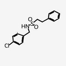 O=S(=O)(CCc1ccccc1)NCc1[c]cc(Cl)cc1